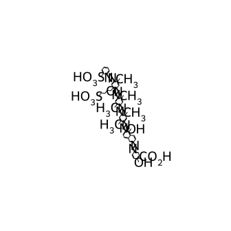 Cc1cc(N=Nc2cc(C)c(N=Nc3ccccc3S(=O)(=O)O)cc2OCCCS(=O)(=O)O)c(C)cc1N=Nc1cc(C)c(N=Nc2ccc3cc(N=Nc4ccc(O)c(C(=O)O)c4)ccc3c2O)cc1C